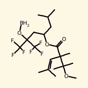 BOC(CC(CC(C)C)OC(=O)C(C)(C=C(C)C)C(C)(C)OC)(C(F)(F)F)C(F)(F)F